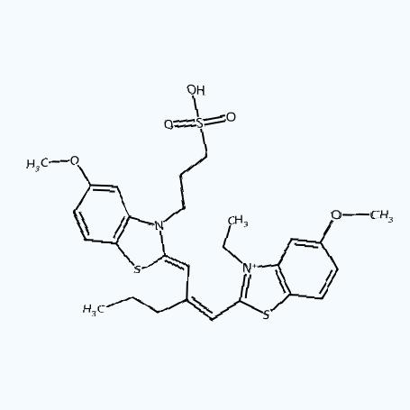 CCCC(=Cc1sc2ccc(OC)cc2[n+]1CC)C=C1Sc2ccc(OC)cc2N1CCCS(=O)(=O)O